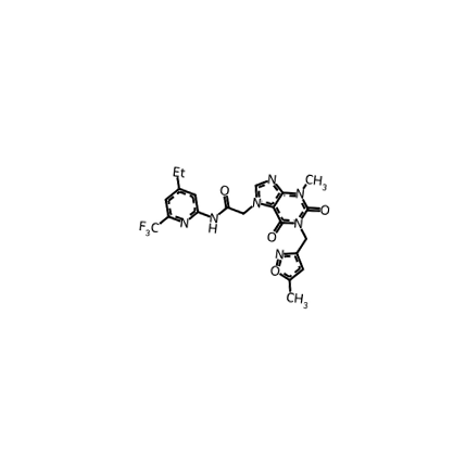 CCc1cc(NC(=O)Cn2cnc3c2c(=O)n(Cc2cc(C)on2)c(=O)n3C)nc(C(F)(F)F)c1